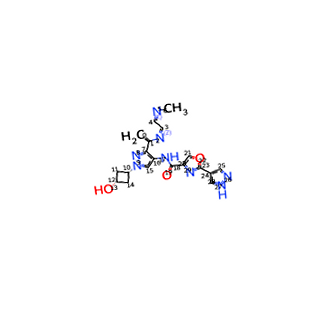 C=C(/N=C\C=N/C)c1nn([C@H]2C[C@@H](O)C2)cc1NC(=O)c1coc(-c2cn[nH]c2)n1